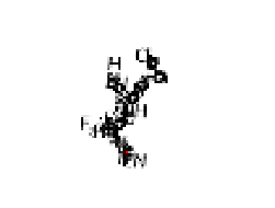 C[C@@H](CN1CCS(=O)(=NC#N)CC1)Nc1ccc(S(=O)(=O)NC(=O)c2ccc(N3CCN(CC4=C(c5ccc(Cl)cc5)CC(C)(C)CC4)CC3)cc2Oc2cnc3[nH]ccc3c2)cc1S(=O)(=O)C(F)(F)F